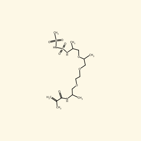 C=C(C)C(=O)NC(C)COCCOCC(C)OCC(C)NS(=O)(=O)NS(C)(=O)=O